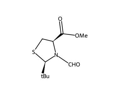 COC(=O)[C@@H]1CS[C@H](C(C)(C)C)N1C=O